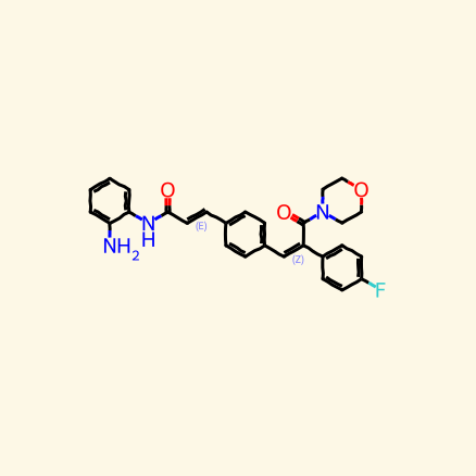 Nc1ccccc1NC(=O)/C=C/c1ccc(/C=C(\C(=O)N2CCOCC2)c2ccc(F)cc2)cc1